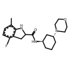 Cc1ccc(F)c2c1NC(C(=O)N[C@@H]1CCC[C@@H](N3CCOCC3)C1)C2